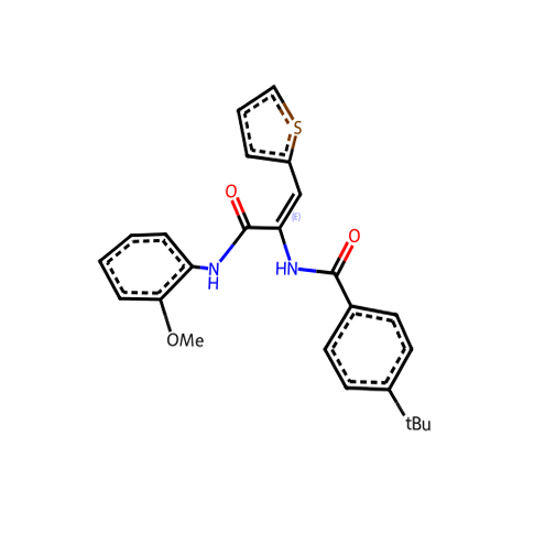 COc1ccccc1NC(=O)/C(=C\c1cccs1)NC(=O)c1ccc(C(C)(C)C)cc1